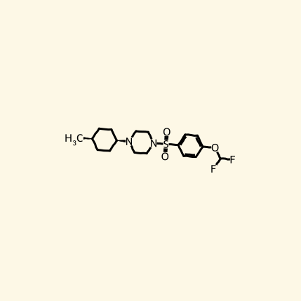 C[C@H]1CC[C@@H](N2CCN(S(=O)(=O)c3ccc(OC(F)F)cc3)CC2)CC1